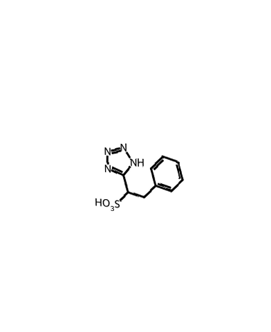 O=S(=O)(O)C(Cc1ccccc1)c1nnn[nH]1